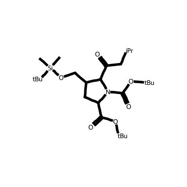 CC(C)CC(=O)C1C(CO[Si](C)(C)C(C)(C)C)CC(C(=O)OC(C)(C)C)N1C(=O)OC(C)(C)C